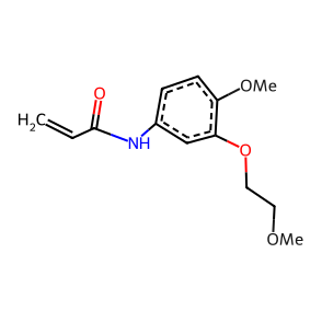 C=CC(=O)Nc1ccc(OC)c(OCCOC)c1